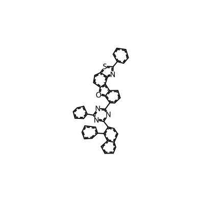 c1ccc(-c2nc(-c3ccc4ccccc4c3-c3ccccc3)nc(-c3cccc4c3oc3ccc5sc(-c6ccccc6)nc5c34)n2)cc1